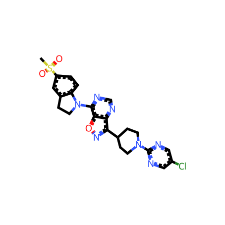 CS(=O)(=O)c1ccc2c(c1)CCN2c1ncnc2c(C3CCN(c4ncc(Cl)cn4)CC3)noc12